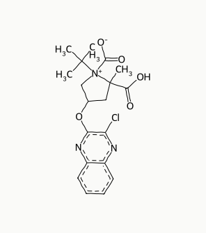 CC(C)(C)[N+]1(C(=O)[O-])CC(Oc2nc3ccccc3nc2Cl)CC1(C)C(=O)O